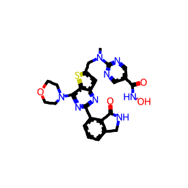 CN(Cc1cc2nc(-c3cccc4c3C(=O)NC4)nc(N3CCOCC3)c2s1)c1ncc(C(=O)NO)cn1